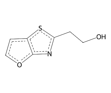 OCCc1nc2occc2s1